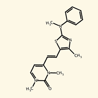 Cc1nc(N(C)c2ccccc2)sc1/C=C/c1cc[n+](C)c(=O)n1C